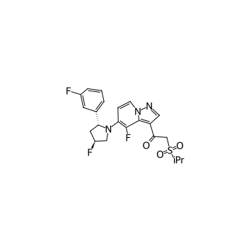 CC(C)S(=O)(=O)CC(=O)c1cnn2ccc(N3C[C@@H](F)C[C@@H]3c3cccc(F)c3)c(F)c12